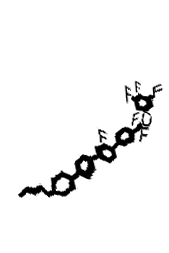 CCCCCC1CCC(c2ccc(-c3ccc(-c4ccc(C(F)(F)Oc5cc(F)c(F)c(F)c5)cc4)c(F)c3)cc2)CC1